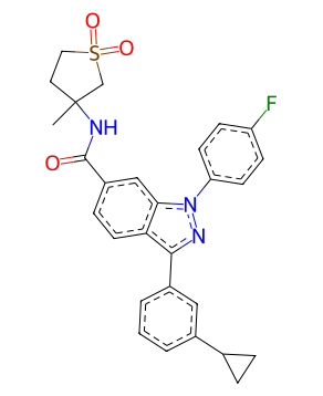 CC1(NC(=O)c2ccc3c(-c4cccc(C5CC5)c4)nn(-c4ccc(F)cc4)c3c2)CCS(=O)(=O)C1